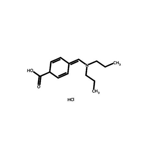 CCCN(C=C1C=CC(C(=O)O)C=C1)CCC.Cl